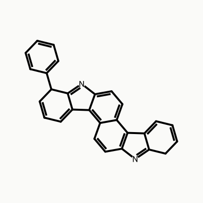 C1=CCC2=Nc3ccc4c5c(ccc4c3C2=C1)N=C1C5=CC=CC1c1ccccc1